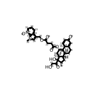 C[C@@H]1C[C@H]2[C@@H]3CCC4=CC(=O)C=C[C@]4(C)[C@@]3(F)[C@@H](OC(=O)CCC(=O)OCc3cn(C)c4c3ccc[n+]4[O-])C[C@]2(C)[C@@]1(O)C(=O)CO